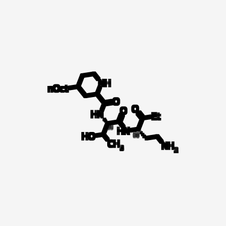 CCCCCCCCC1CCNC(C(=O)N[C@H](C(=O)N[C@@H](CCN)C(=O)CC)C(C)O)C1